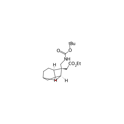 CCOC(=O)C[C@]1(CNC(=O)OC(C)(C)C)[C@@H]2CCC3C[C@@H]2[C@@H]1C3